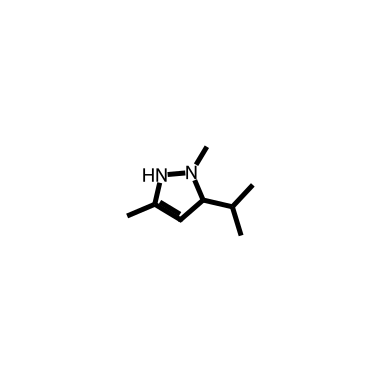 CC1=CC(C(C)C)N(C)N1